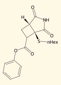 CCCCCCS[C@]12C(=O)NC(=O)[C@H]1CC2C(=O)Oc1ccccc1